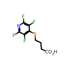 O=C(O)CCCSc1c(F)c(F)nc(F)c1F